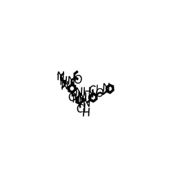 C=CC(=O)Nc1cc(Nc2ncc(Cl)c(Nc3ccc(OCc4ccccn4)c(Cl)c3)n2)c(OC)cc1N(C)CCN(C)C